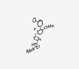 CNC(=O)NCc1ccc(Cc2ccc(OC)c(-c3cccc(Cl)c3)c2F)cn1